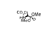 CCOC(=O)C(=N)P(=O)(OC)OC